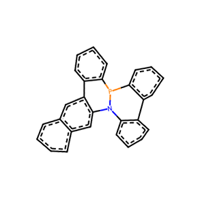 c1ccc2c(c1)-c1ccccc1P1c3ccccc3-c3cc4ccccc4cc3N21